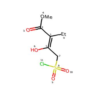 CC/C(C(=O)OC)=C(/O)CS(=O)(=O)Cl